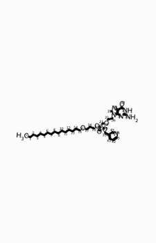 CCCCCCCCCCCCCCCCOCCCOP(=O)(COCCn1cnc2c(=O)[nH]c(N)nc21)OCc1cccnc1